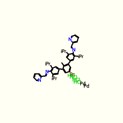 Cc1c(-c2cc(C(C)C)c(N=Cc3ccccn3)c(C(C)C)c2)cc(Br)cc1-c1cc(C(C)C)c(N=Cc2ccccn2)c(C(C)C)c1.Cl.Cl.Cl.Cl.[Pd].[Pd]